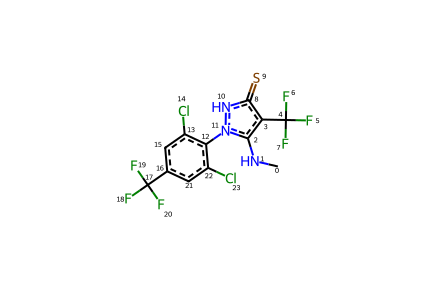 CNc1c(C(F)(F)F)c(=S)[nH]n1-c1c(Cl)cc(C(F)(F)F)cc1Cl